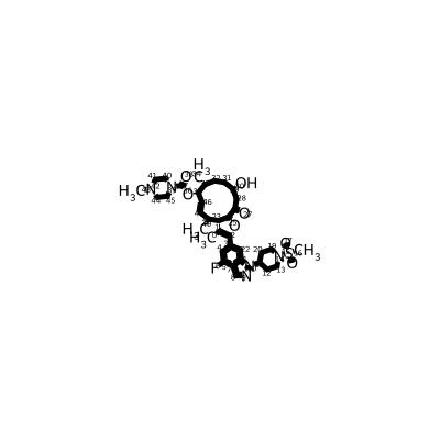 C/C(=C\c1cc(F)c2cnn(C3CCN(S(C)(=O)=O)CC3)c2c1)[C@H]1C(=O)C(=O)C[C@H](O)CC[C@H](C)[C@@H](OC(=O)N2CCN(C)CC2)/C=C/[C@@H]1C